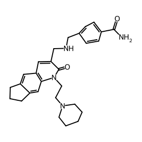 NC(=O)c1ccc(CNCc2cc3cc4c(cc3n(CCN3CCCCC3)c2=O)CCC4)cc1